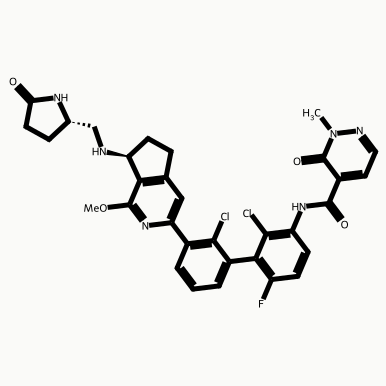 COc1nc(-c2cccc(-c3c(F)ccc(NC(=O)c4ccnn(C)c4=O)c3Cl)c2Cl)cc2c1[C@@H](NC[C@@H]1CCC(=O)N1)CC2